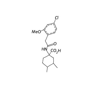 COc1cc(Cl)ccc1CC(=O)NC1(C(=O)O)CCC(C)C(C)C1